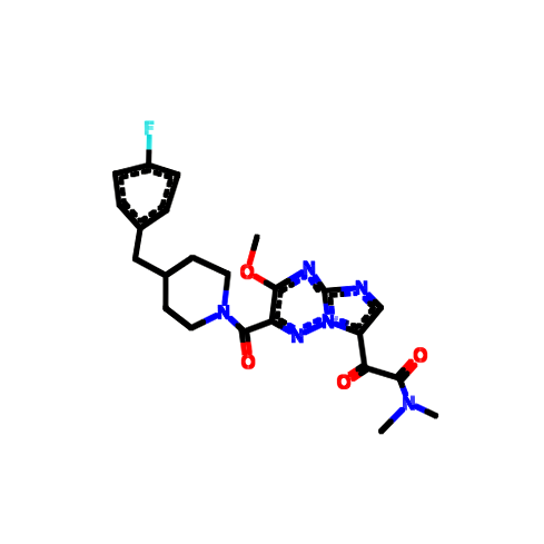 COc1nc2ncc(C(=O)C(=O)N(C)C)n2nc1C(=O)N1CCC(Cc2ccc(F)cc2)CC1